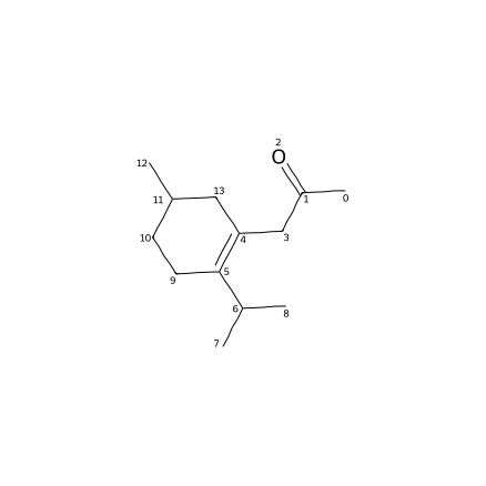 CC(=O)CC1=C(C(C)C)CCC(C)C1